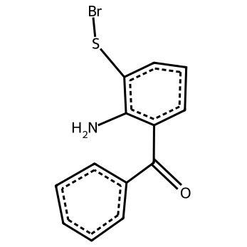 Nc1c(SBr)cccc1C(=O)c1ccccc1